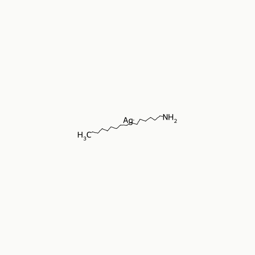 CCCCCCCCCCCCCCCCN.[Ag]